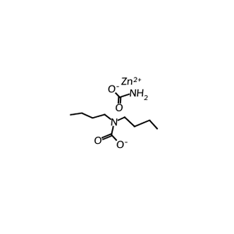 CCCCN(CCCC)C(=O)[O-].NC(=O)[O-].[Zn+2]